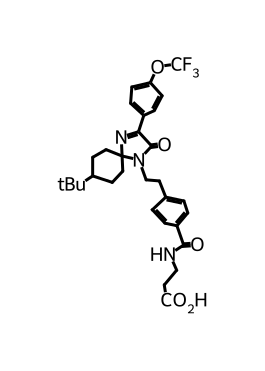 CC(C)(C)C1CCC2(CC1)N=C(c1ccc(OC(F)(F)F)cc1)C(=O)N2CCc1ccc(C(=O)NCCC(=O)O)cc1